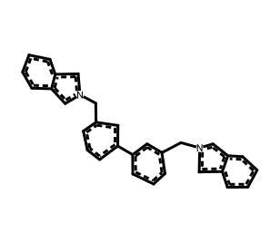 c1cc(Cn2cc3ccccc3c2)cc(-c2cccc(Cn3cc4ccccc4c3)c2)c1